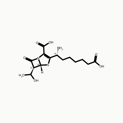 CC(O)[C@H]1C(=O)N2C(C(=O)O)=C([C@H](N)CCCCCC(=O)O)S[C@H]12